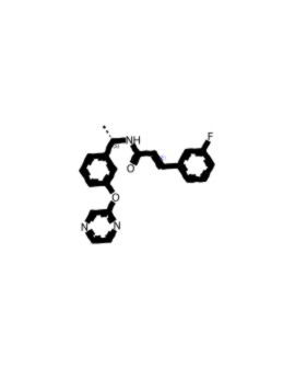 C[C@H](NC(=O)/C=C/c1cccc(F)c1)c1cccc(Oc2cnccn2)c1